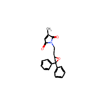 CC1=CC(=O)N(CCC2OC2(c2ccccc2)c2ccccc2)C1=O